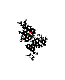 CCCN(CCC)C(=O)c1cccc(C(=O)NC(CC)C2C(c3cc(F)cc(F)c3)=C([N+](=O)[O-])C=CC2(CNCc2ccccc2)OC(=O)OC2(CNCc3ccccc3)C=CC([N+](=O)[O-])=C(c3cc(F)cc(F)c3)C2C(CC)NC(=O)c2cccc(C(=O)N(CCC)CCC)c2)c1